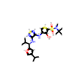 CC(C)c1coc([C@H](Nc2nsnc2Nc2csc(S(=O)(=O)N(C)C(C)(C)C)c2O)C(C)C)c1